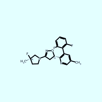 Cc1cnc([C@@H]2CC(N3CC[C@@](C)(F)C3)=NO2)c(-c2c(F)cccc2F)c1